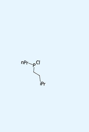 CCCP(Cl)CCC(C)C